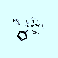 Br.Br.C[Si](C)=[Hf]([CH3])([CH3])[C]1=CC=CC1